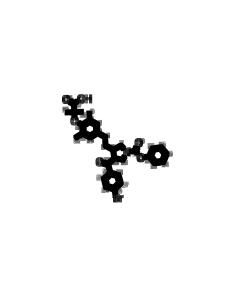 Cc1cc(CCC2CN(C(=O)Oc3ccccc3)CC2C(=O)c2ccc(Br)cc2)cc(C)c1OC(C)(C)C(=O)O